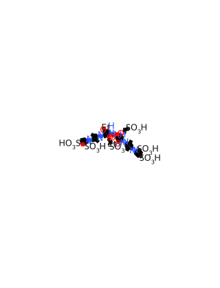 CCOc1cc(NC(=O)Nc2cc(OCC)c(N=Nc3cc(C)c(N=Nc4ccc(S(=O)(=O)O)cc4S(=O)(=O)O)cc3C)cc2OCCCS(=O)(=O)O)c(OCCCS(=O)(=O)O)cc1N=Nc1cc(C)c(N=Nc2ccc(S(=O)(=O)O)cc2S(=O)(=O)O)cc1C